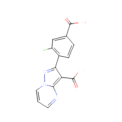 O=C(O)c1ccc(-c2nn3cccnc3c2C(=O)O)c(F)c1